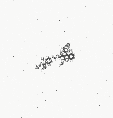 CCOC(=O)C1=C(COCCN2CCN(C(=NC)NC#N)CC2)NC(C=C=O)=C(OC)C1c1ccccc1Cl